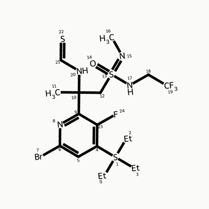 CCS(CC)(CC)c1cc(Br)nc(C(C)(CS(=O)(=NC)NCC(F)(F)F)NC=S)c1F